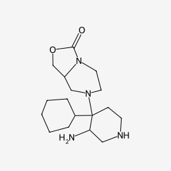 NC1CNCCC1(C1CCCCC1)N1CCN2C(=O)OCC2C1